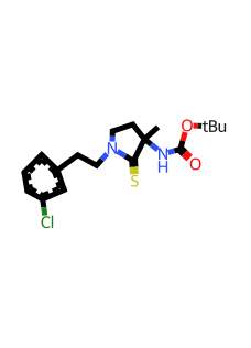 CC(C)(C)OC(=O)NC1(C)CCN(CCc2cccc(Cl)c2)C1=S